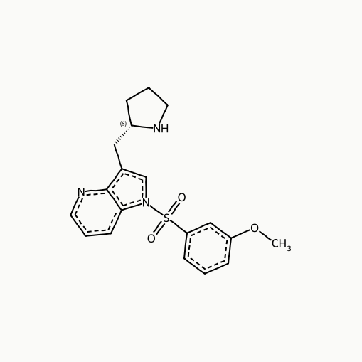 COc1cccc(S(=O)(=O)n2cc(C[C@@H]3CCCN3)c3ncccc32)c1